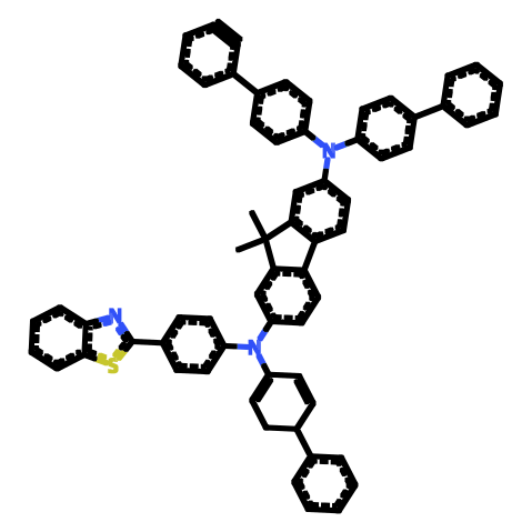 CC1(C)c2cc(N(C3=CCC(c4ccccc4)C=C3)c3ccc(-c4nc5ccccc5s4)cc3)ccc2-c2ccc(N(c3ccc(-c4c#cccc4)cc3)c3ccc(-c4ccccc4)cc3)cc21